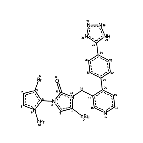 CCCCc1cn(-c2c(Br)ccn2CCC)c(=O)n1Cc1cnccc1-c1ccc(-c2nnn[nH]2)cc1